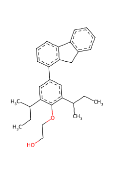 CCC(C)c1cc(-c2cccc3c2Cc2ccccc2-3)cc(C(C)CC)c1OCCO